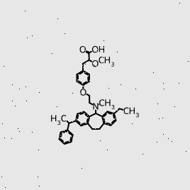 CCc1ccc2c(c1)C(N(C)CCOc1ccc(CC(OC)C(=O)O)cc1)c1ccc(C(C)c3ccccc3)cc1CC2